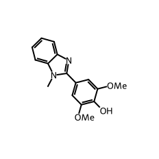 COc1cc(-c2nc3ccccc3n2C)cc(OC)c1O